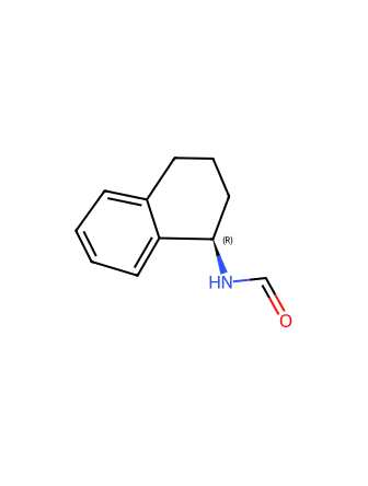 O=CN[C@@H]1CCCc2ccccc21